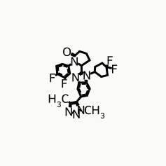 Cc1nnn(C)c1-c1ccc2c(c1)nc(C1CCCC(=O)N1c1ccc(F)c(F)c1)n2C1CCC(F)(F)CC1